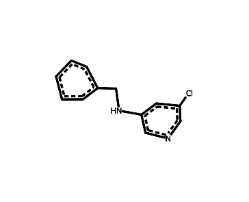 Clc1cncc(NCc2ccccc2)c1